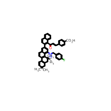 CC1(C)C=CC2=C(C1)CC(C)(C)c1c2ccc2cc(-c3ccc4ccccc4c3C(=O)C=Cc3ccc(C(=O)O)cc3)cc(NCc3ccc(F)cc3)c12